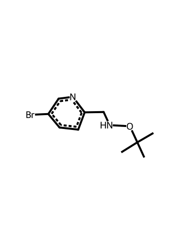 CC(C)(C)ONCc1ccc(Br)cn1